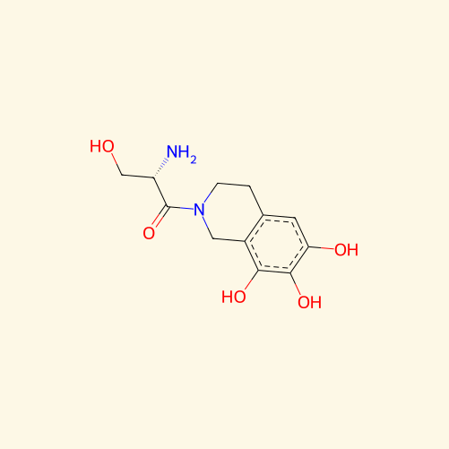 N[C@@H](CO)C(=O)N1CCc2cc(O)c(O)c(O)c2C1